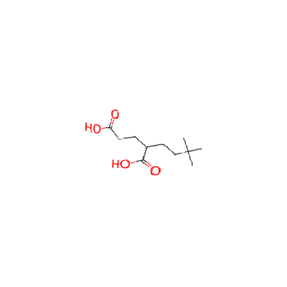 CC(C)(C)CCC(CCC(=O)O)C(=O)O